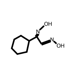 ON=CC(=NO)C1CCCCC1